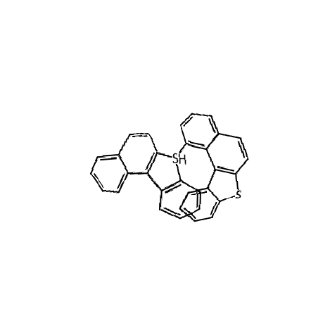 [c]1cccc2c1[SH](c1cccc3ccc4sc5ccccc5c4c13)c1ccc3ccccc3c1-2